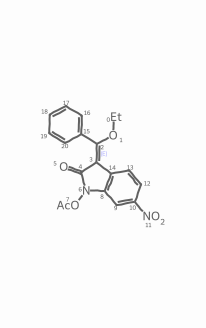 CCO/C(=C1/C(=O)N(OC(C)=O)c2cc([N+](=O)[O-])ccc21)c1ccccc1